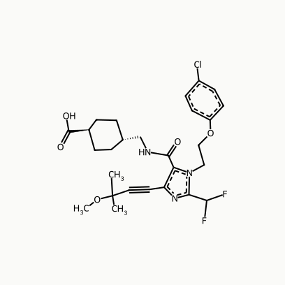 COC(C)(C)C#Cc1nc(C(F)F)n(CCOc2ccc(Cl)cc2)c1C(=O)NC[C@H]1CC[C@H](C(=O)O)CC1